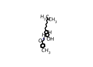 Cc1ccc(C(=O)/C=C/[C@@H]2[C@H]3CC(CCCCCN(C)C)=C[C@H]3C[C@H]2O)cc1